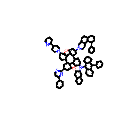 C1=CN(c2ccc3c4cc(-c5nccc(-c6ccccc6)n5)cc5oc6c(N(c7ccc8ccccc8c7)c7c8ccccc8c(-c8ccccc8)c8ccccc78)ccc(c7cc(N8C=c9ccc%10cccc(-c%11ccccc%11)c%10c9=CC8)cc8oc2c3c87)c6c54)CC=C1c1ccccn1